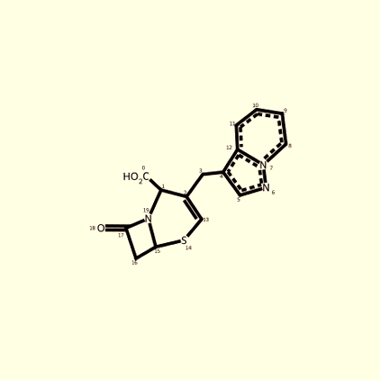 O=C(O)C1C(Cc2cnn3ccccc23)=CSC2CC(=O)N21